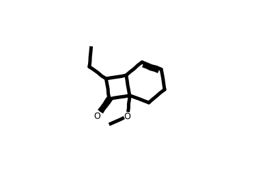 CCC1C(=O)C2(OC)CCC=CC12